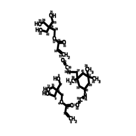 C=CC(=O)OCC(CO)(CO)CO.C=CC(=O)OCC(CO)(CO)CO.CC1(C)CC(N=C=O)CC(C)(CN=C=O)C1